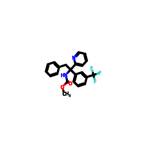 COC(=O)NC(Cc1ccccc1)(c1cccc(C(F)(F)F)c1)c1ccccn1